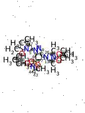 C=CC(=O)N1C[C@H](n2ncc3c(N4C[C@H](C)N(C(=O)OC(C)(C)C)[C@@H](C)C4)cc(S(=O)(=O)N(COCC[Si](C)(C)C)C4(C)CC4)cc32)C[C@H]1C(C)C